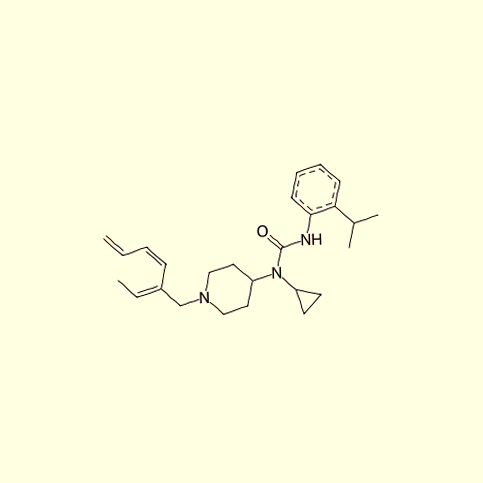 C=C/C=C\C(=C/C)CN1CCC(N(C(=O)Nc2ccccc2C(C)C)C2CC2)CC1